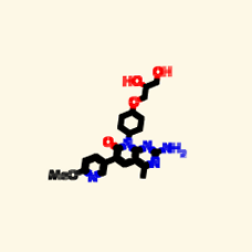 COc1ccc(-c2cc3c(C)nc(N)nc3n(C3CCC(OC[C@@H](O)CO)CC3)c2=O)cn1